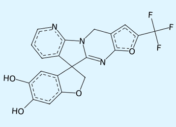 Oc1cc2c(cc1O)C1(CO2)C2=Nc3oc(C(F)(F)F)cc3CN2c2ncccc21